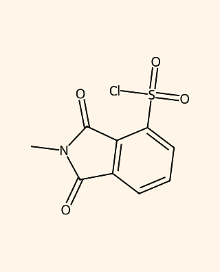 CN1C(=O)c2cccc(S(=O)(=O)Cl)c2C1=O